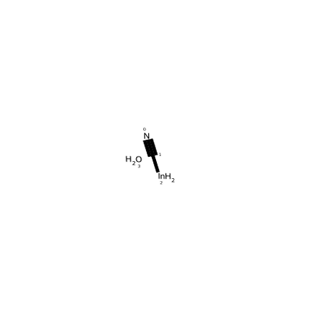 N#[C][InH2].O